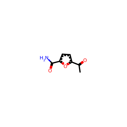 CC(=O)c1ccc(C(N)=O)o1